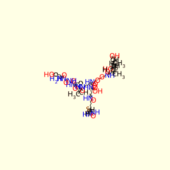 CC(C)C[C@@H](C(=O)NCCCC[C@H](NC(=O)COCCOCCNC(=O)CC[C@H](C)[C@H]1CC[C@H]2[C@@H]3CC[C@@H]4C[C@H](O)CC[C@]4(C)[C@H]3C[C@H](O)[C@]12C)C(=O)N[C@@H](CCCCNC(=O)CCCC[C@@H]1SC[C@@H]2NC(=O)N[C@@H]21)C(=O)O)N1C(=O)[C@@H](NC(=O)CNC(=O)CNC(=O)[C@@H](N)Cc2ccc(O)cc2)Cc2ccccc21